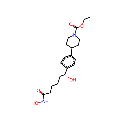 CCOC(=O)N1CCC(c2ccc([C@H](O)CCCCC(=O)NO)cc2)CC1